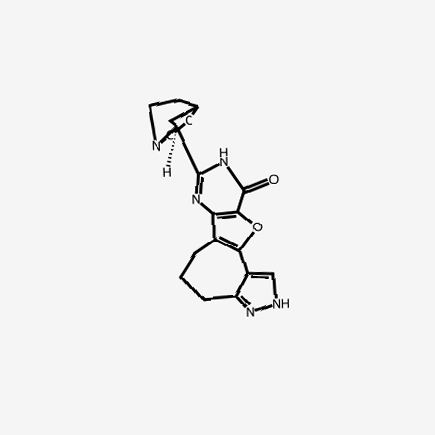 O=c1[nH]c([C@H]2CC3CCN2CC3)nc2c3c(oc12)-c1c[nH]nc1CCC3